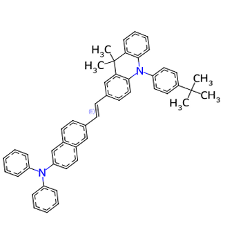 CC(C)(C)c1ccc(N2c3ccccc3C(C)(C)c3cc(/C=C/c4ccc5cc(N(c6ccccc6)c6ccccc6)ccc5c4)ccc32)cc1